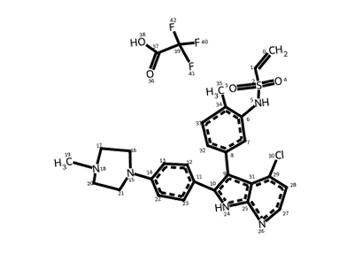 C=CS(=O)(=O)Nc1cc(-c2c(-c3ccc(N4CCN(C)CC4)cc3)[nH]c3nccc(Cl)c23)ccc1C.O=C(O)C(F)(F)F